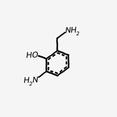 NCc1cccc(N)c1O